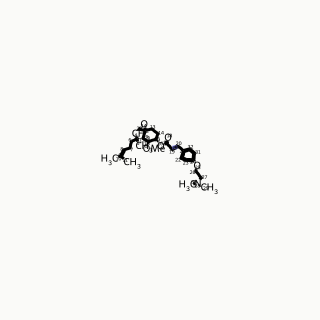 CO[C@H]1[C@H](C(C)(C)CCC=C(C)C)C2(CC[C@H]1OC(=O)/C=C/c1ccc(OCCN(C)C)cc1)CO2